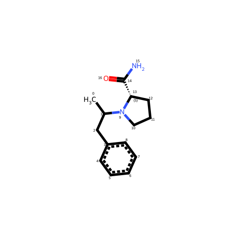 CC(Cc1ccccc1)N1CCC[C@H]1C(N)=O